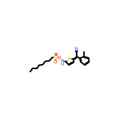 CCCCCCCCS(=O)(=O)ONC1C=C/C(=C(/C#N)c2ccccc2C)S1